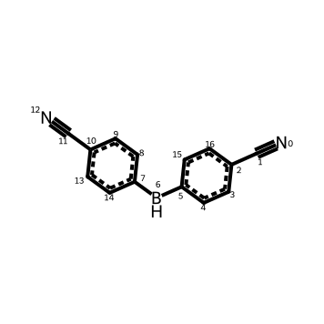 N#Cc1ccc(Bc2ccc(C#N)cc2)cc1